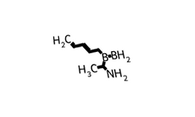 BB(CC=CC=C)C(C)N